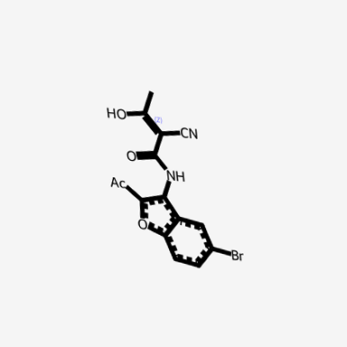 CC(=O)c1oc2ccc(Br)cc2c1NC(=O)/C(C#N)=C(/C)O